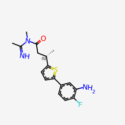 CC(=N)N(C)C(=O)C[C@H](C)c1ccc(-c2ccc(F)c(N)c2)s1